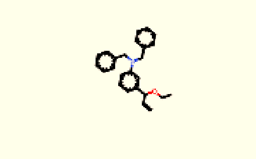 C=CC(OCC)c1cccc(N(Cc2ccccc2)Cc2ccccc2)c1